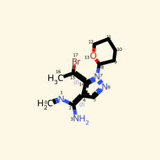 C=N/C(N)=c1/cnn(C2CCCCO2)/c1=C(/C)Br